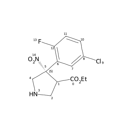 CCOC(=O)C1CNC[C@]1(c1cc(Cl)ccc1F)[N+](=O)[O-]